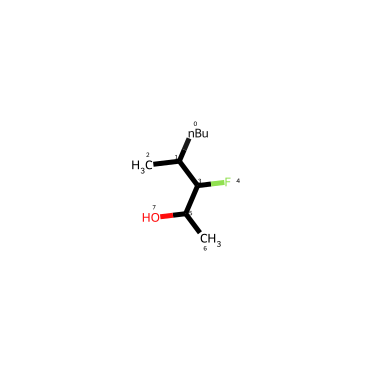 CCCCC(C)C(F)C(C)O